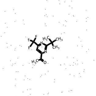 CC(=O)c1cc(C(F)(F)F)nc(C(C)(C)C)n1